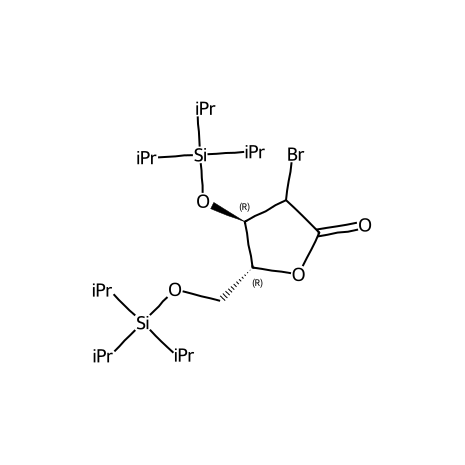 CC(C)[Si](OC[C@H]1OC(=O)C(Br)[C@@H]1O[Si](C(C)C)(C(C)C)C(C)C)(C(C)C)C(C)C